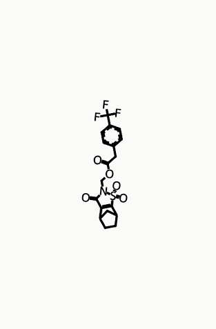 O=C(Cc1ccc(C(F)(F)F)cc1)OCN1C(=O)C2=C(C3CCC2C3)S1(=O)=O